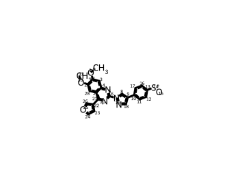 COc1cc2nc(-n3cc(-c4ccc([S+]=O)cc4)cn3)nc(-c3ccoc3)c2cc1OC